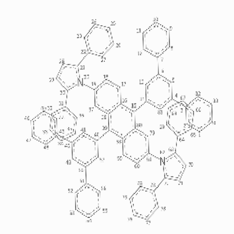 c1ccc(-c2cc(-c3ccccc3)cc(-c3c4ccc(-n5c(-c6ccccc6)ccc5-c5ccccc5)cc4c(-c4cc(-c5ccccc5)cc(-c5ccccc5)c4)c4ccc(-n5c(-c6ccccc6)ccc5-c5ccccc5)cc34)c2)cc1